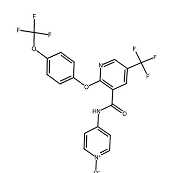 O=C(Nc1cc[n+]([O-])cc1)c1cc(C(F)(F)F)cnc1Oc1ccc(OC(F)(F)F)cc1